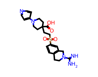 N=C(N)N1CCc2ccc(S(=O)(=O)CCC3(C(=O)O)CCN(c4ccncc4)CC3)cc2C1